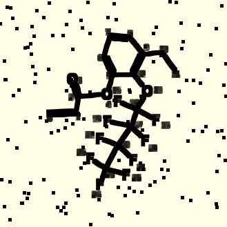 C=CC(=O)Oc1cccc(CC)c1OC(F)(F)C(F)(F)C(F)(F)C(F)(F)F